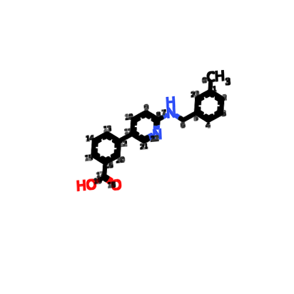 Cc1cccc(CNc2ccc(-c3cccc(C(=O)O)c3)cn2)c1